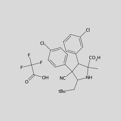 CC(C)(C)CC1NC(C)(C(=O)O)C(c2cccc(Cl)c2)C1(C#N)c1ccc(Cl)cc1.O=C(O)C(F)(F)F